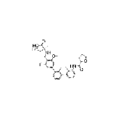 COc1cc(-c2cccc(-c3cccc(NC(=O)C4CCCO4)c3C)c2C)cc(F)c1CN[C@@](C)(CO)C(=O)O